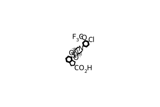 C[C@@H]1CN(c2ccc(Cl)c(OC(F)(F)F)c2)C[C@H](C)N1S(=O)(=O)c1cccc2c1CC(C(=O)O)C2